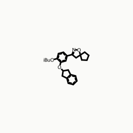 CC(C)COc1ccc(C2=NOC3(CCCC3)C2)cc1OC1Cc2ccccc2C1